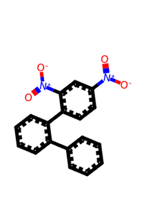 O=[N+]([O-])c1ccc(-c2ccccc2-c2ccccc2)c([N+](=O)[O-])c1